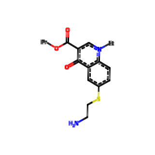 CCn1cc(C(=O)OC(C)C)c(=O)c2cc(SCCN)ccc21